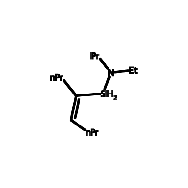 CCCC=C(CCC)[SiH2]N(CC)C(C)C